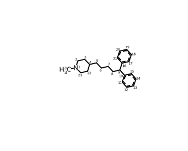 CN1CCC(CCCCC(c2ccccc2)c2ccccc2)CC1